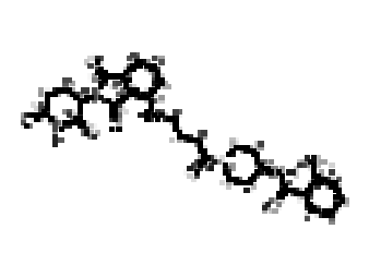 Nc1ccccc1C(=O)NC1CCN(C(=O)CCCNc2cccc3c2C(=O)N(C2CCC(=O)NC2=O)C3=O)CC1